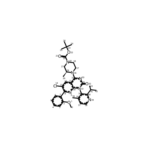 COc1ccccc1-c1nc2c(cc1Cl)c(N1CCN(C(=O)OC(C)(C)C)C[C@@H]1C)nc(=O)n2-c1c(C)ccnc1C(C)C